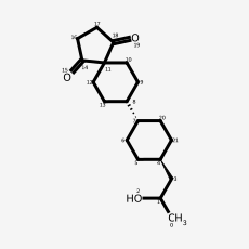 CC(O)C[C@H]1CC[C@H](C2CCC3(CC2)C(=O)CCC3=O)CC1